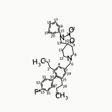 CCCc1cc(CN2CCC3(CC2)CN(c2ccccc2)C(=O)O3)cc(CCC)c1-c1ccc(F)cc1